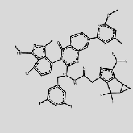 CNc1nn(C)c2c(-n3c([C@H](Cc4cc(F)cc(F)c4)NC(=O)Cn4nc(C(F)F)c5c4C(F)(F)C4CC54)nc4cc(-c5nc(C)cc(OC)n5)ccc4c3=O)ccc(Cl)c12